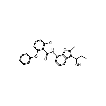 CCC(O)c1c(C)oc2c(NC(=O)c3c(Cl)cccc3Oc3ccccc3)cccc12